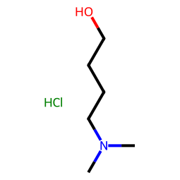 CN(C)CCCCO.Cl